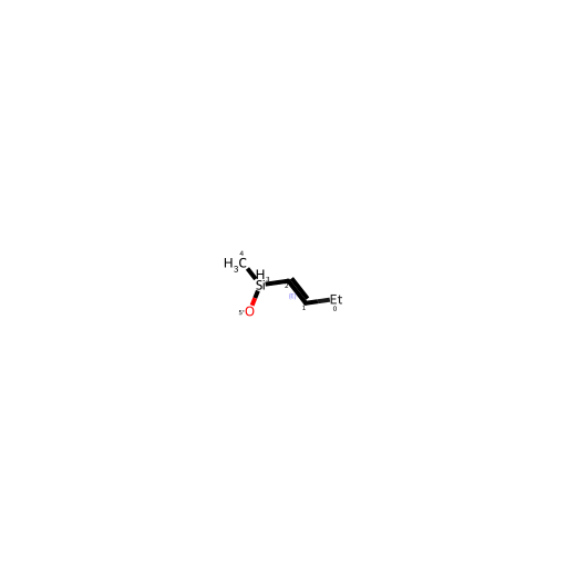 CC/C=C/[SiH](C)[O]